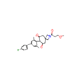 COCCC(=O)N1CC2(CC(=O)C(c3c(C)cc(-c4ccc(F)cc4)cc3C)C(=O)C2)C1